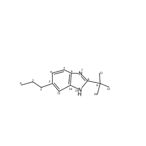 CCCc1ccc2nc(C(C)(C)C)[nH]c2c1